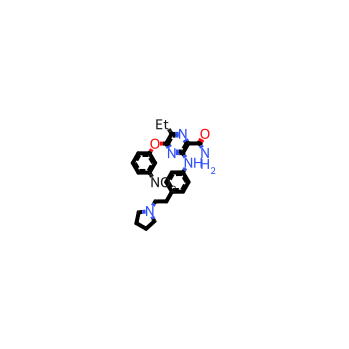 CCc1nc(C(N)=O)c(Nc2ccc(CCN3CCCC3)cc2)nc1Oc1cccc([N+](=O)[O-])c1